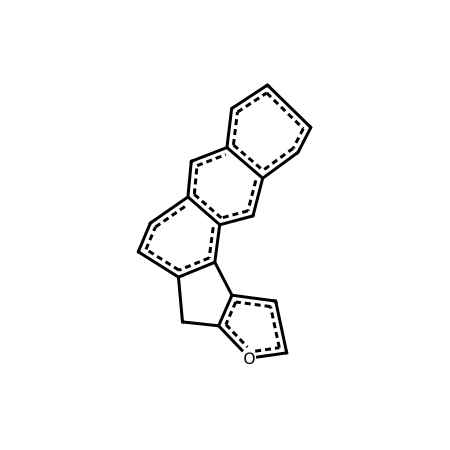 c1ccc2cc3c4c(ccc3cc2c1)Cc1occc1-4